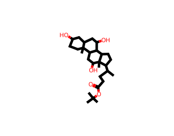 CC(CCC(=O)OC(C)(C)C)C1CCC2C3C(O)CC4CC(O)CCC4(C)C3CC(O)C12C